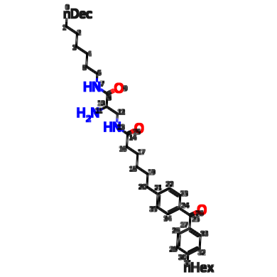 CCCCCCCCCCCCCCCCNC(=O)C(N)CNC(=O)CCCCCc1ccc(C(=O)c2ccc(CCCCCC)cc2)cc1